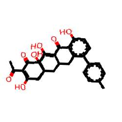 CC(=O)C1=C(O)CC2CC3Cc4c(-c5ccc(C)cc5)ccc(O)c4C(=O)C3=C(O)C2(O)C1=O